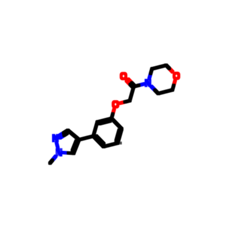 Cn1cc(-c2c[c]cc(OCC(=O)N3CCOCC3)c2)cn1